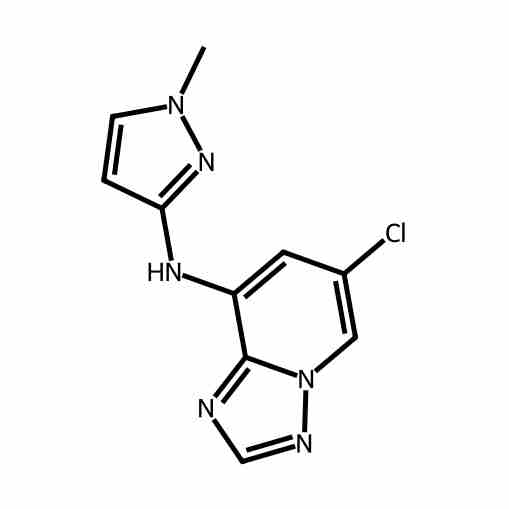 Cn1ccc(Nc2cc(Cl)cn3ncnc23)n1